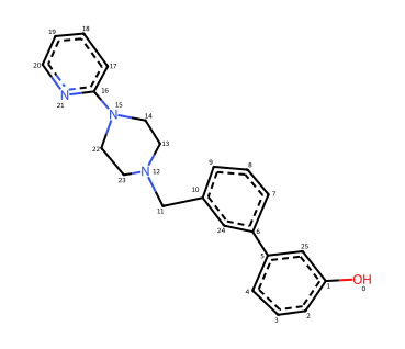 Oc1cccc(-c2cccc(CN3CCN(c4ccccn4)CC3)c2)c1